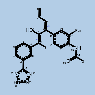 C=C/C=C(\C(O)=C(/C)c1cccc(-c2nn[nH]n2)c1)c1ccc(NC(C)=O)c(F)c1